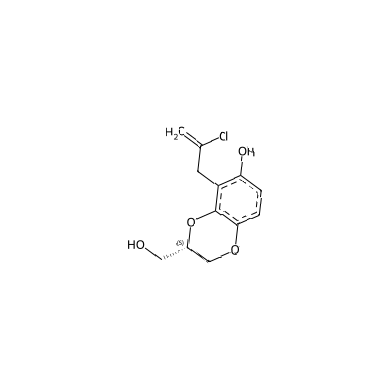 C=C(Cl)Cc1c(O)ccc2c1O[C@@H](CO)CO2